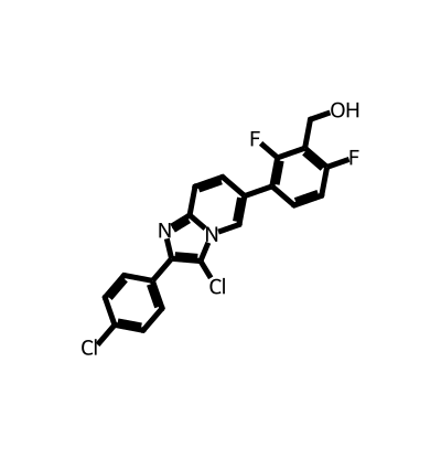 OCc1c(F)ccc(-c2ccc3nc(-c4ccc(Cl)cc4)c(Cl)n3c2)c1F